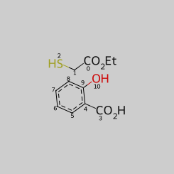 CCOC(=O)CS.O=C(O)c1ccccc1O